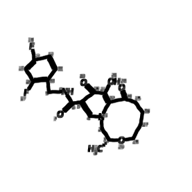 C[C@@H]1Cn2cc(C(=O)NCc3ccc(F)cc3F)c(=O)c(O)c2C(=O)CCCCO1